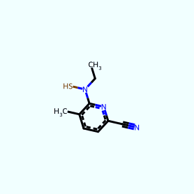 CCN(S)c1nc(C#N)ccc1C